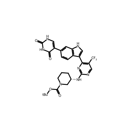 CC(C)(C)OC(=O)N1CCC[C@H](Nc2ncc(C(F)(F)F)c(-c3c[nH]c4cc(-c5c[nH]c(=O)[nH]c5=O)ccc34)n2)C1